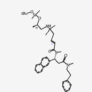 C[C@H](CNC(C)(C)C/C=C/C(=O)N(C)C(CC(=O)N(C)CCc1ccccc1)c1ccc2ccccc2c1)O[Si](C)(C)OC(C)(C)C